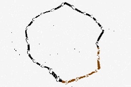 C1CCCCCCCCSSSSSSCCCCCCCC1